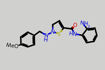 COc1ccc(CNN2CC=C(C(=O)Nc3ccccc3N)S2)cc1